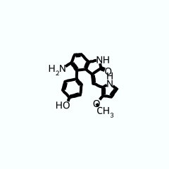 COc1cc[nH]c1C=C1C(=O)Nc2ccc(N)c(-c3ccc(O)cc3)c21